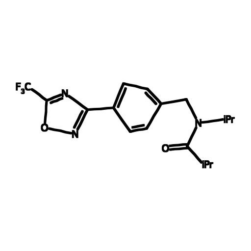 CC(C)C(=O)N(Cc1ccc(-c2noc(C(F)(F)F)n2)cc1)C(C)C